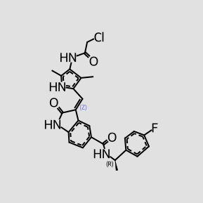 Cc1[nH]c(/C=C2\C(=O)Nc3ccc(C(=O)N[C@H](C)c4ccc(F)cc4)cc32)c(C)c1NC(=O)CCl